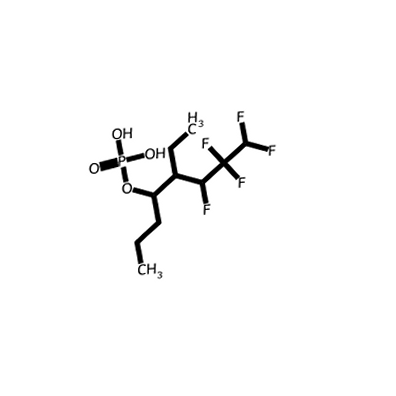 CCCC(OP(=O)(O)O)C(CC)C(F)C(F)(F)C(F)F